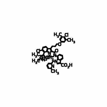 Cc1cccc(Cn2cc(C(=O)O)c3cccc(N4C[C@@H](C)n5c(c(CCCOc6cc(C)c(Cl)c(C)c6)c6ccc(Cl)c(-c7c(C)nn(C)c7C)c65)C4=O)c32)n1